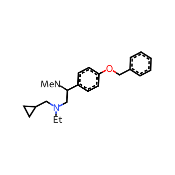 CCN(CC1CC1)CC(NC)c1ccc(OCc2ccccc2)cc1